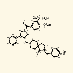 COc1ccc(C(=O)N2CC(CN3CCC4(CC3)CCN(Cc3ccc(Br)cc3)C4=O)C(c3ccccc3)C2)cc1OC.Cl